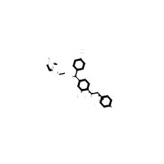 O=C(O)c1cc(C(OCCn2ccnc2)c2ccc(F)cc2)ccc1CCc1ccc(F)cc1